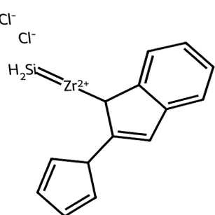 [Cl-].[Cl-].[SiH2]=[Zr+2][CH]1C(C2C=CC=C2)=Cc2ccccc21